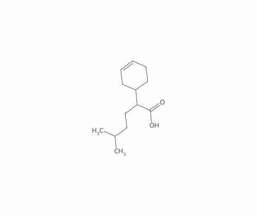 CC(C)CCC(C(=O)O)C1CC=CCC1